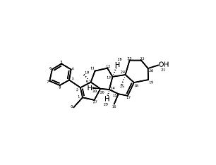 CC1=C(c2ccccc2)[C@@]2(C)CC[C@@H]3[C@@H](C(C)C=C4CC(O)CC[C@@]43C)[C@@H]2C1